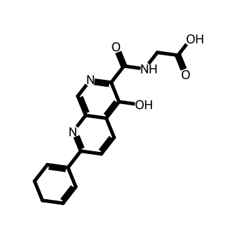 O=C(O)CNC(=O)c1ncc2nc(C3=CCCC=C3)ccc2c1O